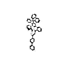 c1ccc(-c2ccc(-c3cc(-c4ccccc4-c4ccc5c(c4)C(c4ccccc4)(c4ccccc4)c4ccccc4-5)nc(-c4ccccc4)n3)cc2)cc1